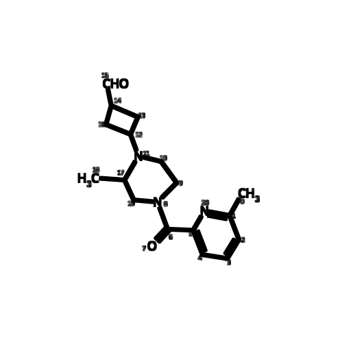 Cc1cccc(C(=O)N2CCN(C3CC(C=O)C3)C(C)C2)n1